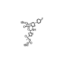 CC(C)(C)OC(=O)N=S(C)(=O)c1cnc(C(=O)Nc2cc(-c3ccc(F)cc3)ccc2NC(=O)OC(C)(C)C)s1